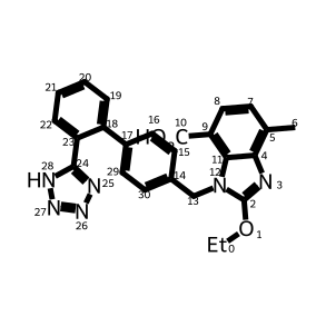 CCOc1nc2c(C)ccc(C(=O)O)c2n1Cc1ccc(-c2ccccc2-c2nnn[nH]2)cc1